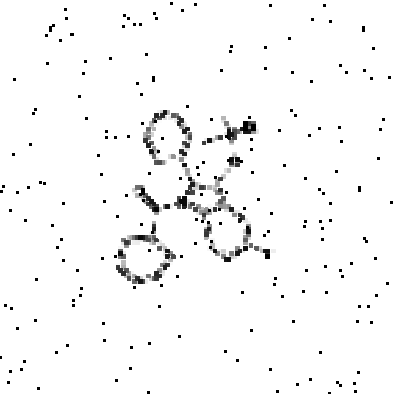 CC[N+](C)(C)Oc1c(-c2ccccc2)n(C(=O)c2ccccc2)c2ccc(Cl)cc12